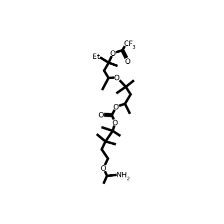 CCC(C)(CC(C)OC(C)(C)CC(C)OC(=O)OC(C)(C)C(C)(C)CCOC(C)N)OC(=O)C(F)(F)F